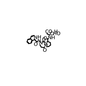 O=CC(CC(=O)O)NC(=O)C1CCCN2C(=O)CCN(NC(=O)c3nccc4ccccc34)C(=O)N12